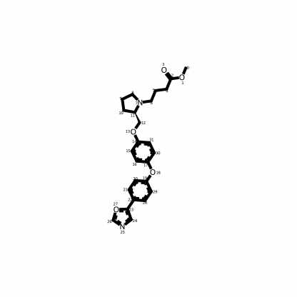 COC(=O)CCCN1CCC[C@@H]1COc1ccc(Oc2ccc(-c3cnco3)cc2)cc1